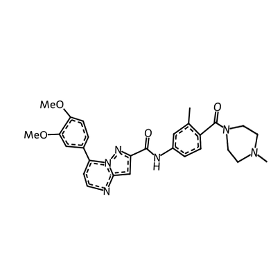 COc1ccc(-c2ccnc3cc(C(=O)Nc4ccc(C(=O)N5CCN(C)CC5)c(C)c4)nn23)cc1OC